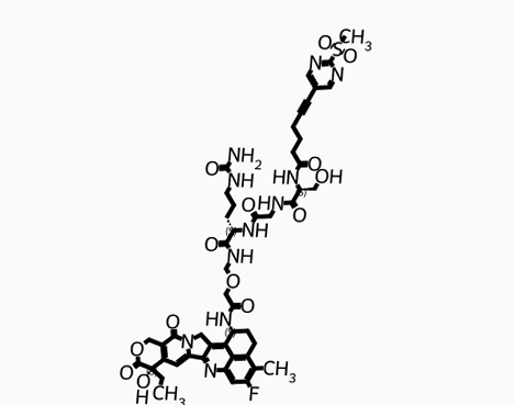 CC[C@@]1(O)C(=O)OCc2c1cc1n(c2=O)Cc2c-1nc1cc(F)c(C)c3c1c2[C@@H](NC(=O)COCNC(=O)[C@H](CCCNC(N)=O)NC(=O)CNC(=O)[C@H](CO)NC(=O)CCCC#Cc1cnc(S(C)(=O)=O)nc1)CC3